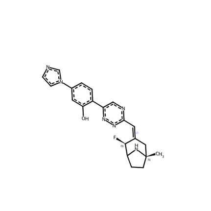 C[C@@]12CCC(N1)[C@@H](F)/C(=C\c1ncc(-c3ccc(-n4ccnc4)cc3O)nn1)C2